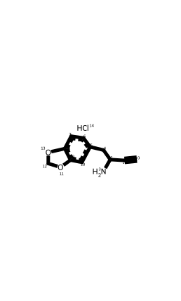 C#CC(N)Cc1ccc2c(c1)OCO2.Cl